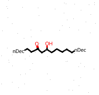 CCCCCCCCCCCCCCCC(O)CC(=O)CCCCCCCCCCCC